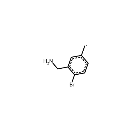 [CH2]c1ccc(Br)c(CN)c1